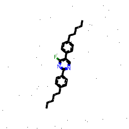 CCCCCc1ccc(-c2ncc(-c3ccc(CCCCC)cc3)c(F)n2)cc1